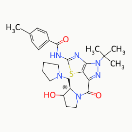 Cc1ccc(C(=O)Nc2nc3c(s2)c(C(=O)N2CCC(O)[C@H]2CN2CCCC2)nn3C(C)(C)C)cc1